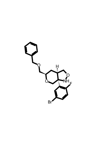 Fc1ccc(Br)cc1[C@]12CO[C@@H](COCc3ccccc3)C[C@H]1CON2